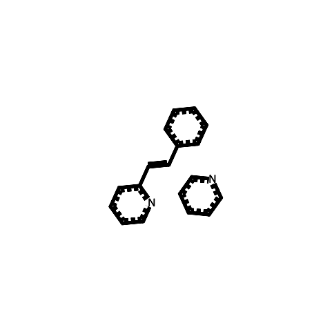 C(=Cc1ccccn1)c1ccccc1.c1ccncc1